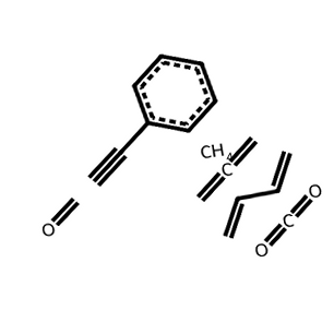 C.C#Cc1ccccc1.C=C=C.C=CC=C.C=O.O=C=O